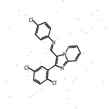 Clc1ccc(/N=C/c2c(-c3cc(Cl)ccc3Cl)nc3ccccn23)cc1